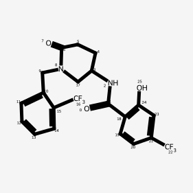 O=C(NC1CCC(=O)N(Cc2ccccc2C(F)(F)F)C1)c1ccc(C(F)(F)F)cc1O